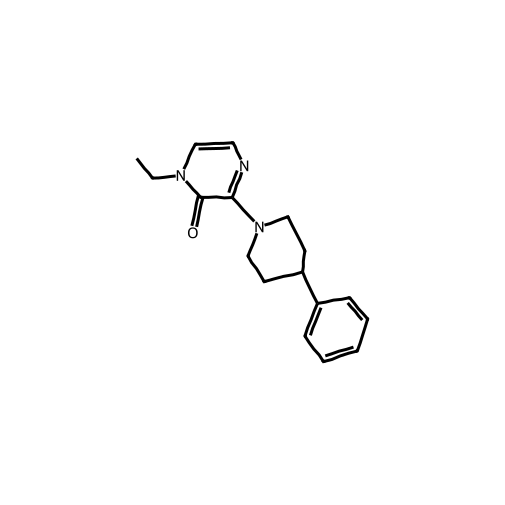 CCn1ccnc(N2CCC(c3ccccc3)CC2)c1=O